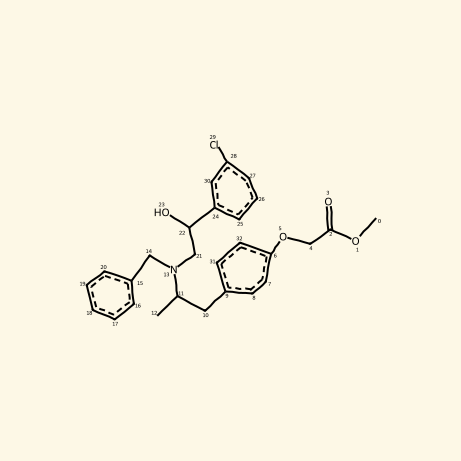 COC(=O)COc1ccc(CC(C)N(Cc2ccccc2)CC(O)c2cccc(Cl)c2)cc1